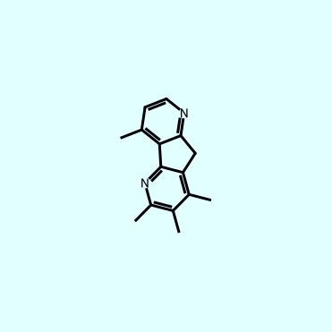 Cc1ccnc2c1-c1nc(C)c(C)c(C)c1C2